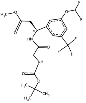 COC(=O)C[C@H](NC(=O)CNC(=O)OC(C)(C)C)c1cc(OC(F)F)cc(C(F)(F)F)c1